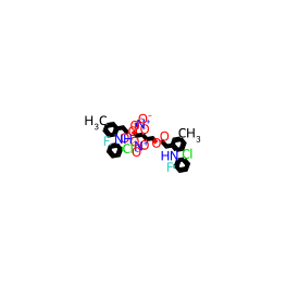 Cc1ccc(Nc2c(F)cccc2Cl)c(CC(=O)OCC(O[N+](=O)[O-])C(COC(=O)Cc2cc(C)ccc2Nc2c(F)cccc2Cl)O[N+](=O)[O-])c1